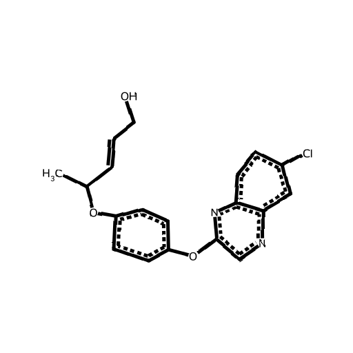 CC(/C=C/CO)Oc1ccc(Oc2cnc3cc(Cl)ccc3n2)cc1